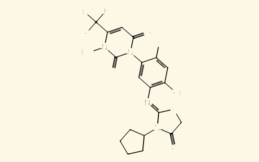 Cn1c(C(F)(F)F)cc(=O)n(-c2cc(/N=C3\SCC(=O)N3C3CCCC3)c(Cl)cc2F)c1=O